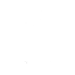 COC(=O)c1ccc2c(Br)cncc2c1